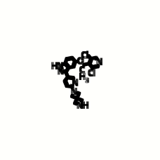 C[C@@H](Oc1ccc2[nH]nc(-c3ccc(N4CC5(CNC5)C4)nc3)c2c1)c1c(Cl)cncc1Cl